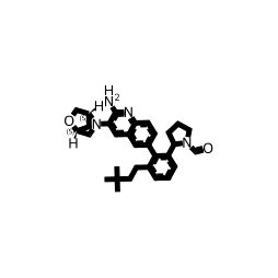 CC(C)(C)CCc1cccc(C2CCCN2C=O)c1-c1ccc2nc(N)c(N3C[C@@H]4C[C@H]3CO4)cc2c1